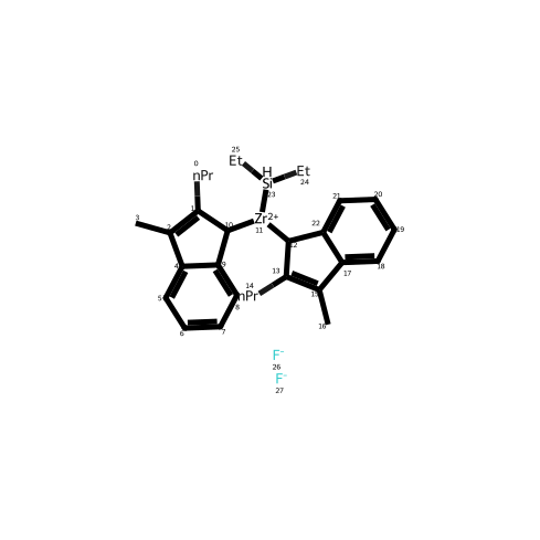 CCCC1=C(C)c2ccccc2[CH]1[Zr+2]([CH]1C(CCC)=C(C)c2ccccc21)[SiH](CC)CC.[F-].[F-]